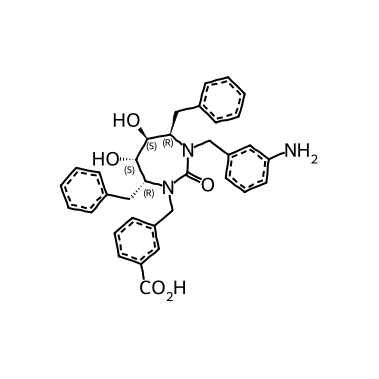 Nc1cccc(CN2C(=O)N(Cc3cccc(C(=O)O)c3)[C@H](Cc3ccccc3)[C@H](O)[C@@H](O)[C@H]2Cc2ccccc2)c1